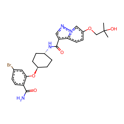 CC(C)(O)COc1ccc2c(C(=O)N[C@H]3CC[C@H](Oc4cc(Br)ccc4C(N)=O)CC3)cnn2c1